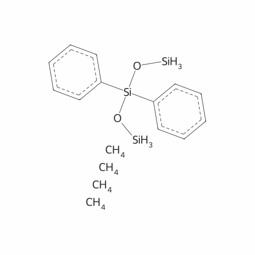 C.C.C.C.[SiH3]O[Si](O[SiH3])(c1ccccc1)c1ccccc1